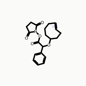 O=C(ON1C(=O)CCC1=O)C(OC1CC/C=C/CCC1)c1ccccc1